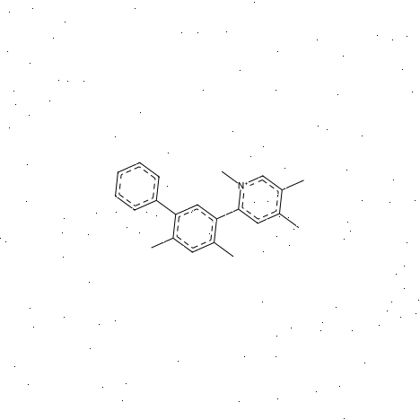 Cc1cc(-c2cc(-c3ccccc3)c(C)cc2C)[n+](C)cc1C